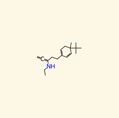 C=C=C(CCC1=CCC(C)(C(C)(C)C)C=C1)NCC